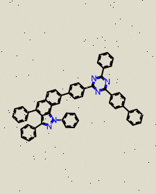 c1ccc(-c2ccc(-c3nc(-c4ccccc4)nc(-c4ccc(-c5ccc6cc(-c7ccccc7)c7c(-c8ccccc8)nn(-c8ccccc8)c7c6c5)cc4)n3)cc2)cc1